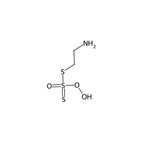 NCCSS(=O)(=S)OO